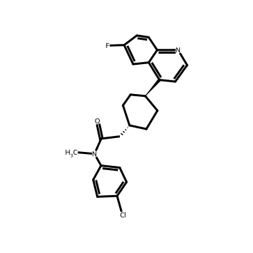 CN(C(=O)C[C@H]1CC[C@H](c2ccnc3ccc(F)cc32)CC1)c1ccc(Cl)cc1